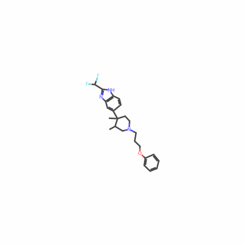 CC1CN(CCCOc2ccccc2)CCC1(C)c1ccc2[nH]c(C(F)F)nc2c1